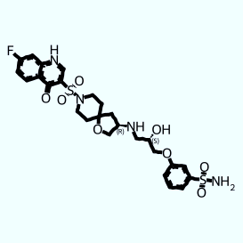 NS(=O)(=O)c1cccc(OC[C@@H](O)CN[C@H]2COC3(CCN(S(=O)(=O)c4c[nH]c5cc(F)ccc5c4=O)CC3)C2)c1